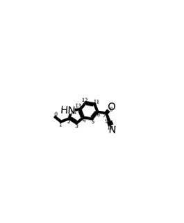 CCc1cc2cc(C(=O)C#N)ccc2[nH]1